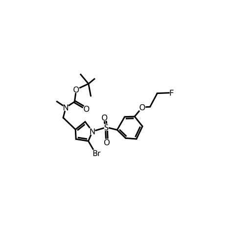 CN(Cc1cc(Br)n(S(=O)(=O)c2cccc(OCCF)c2)c1)C(=O)OC(C)(C)C